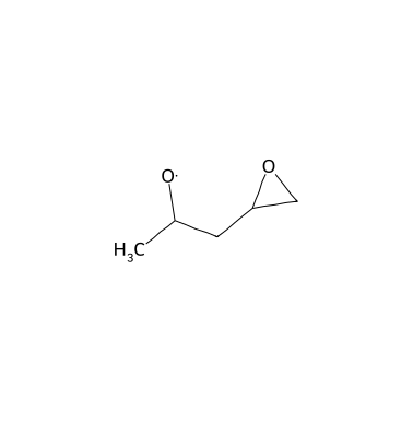 CC([O])CC1CO1